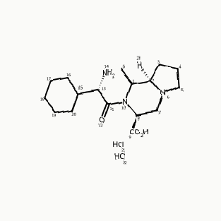 CC1[C@H]2CCCN2C[C@@H](C(=O)O)N1C(=O)[C@@H](N)C1CCCCC1.Cl.Cl